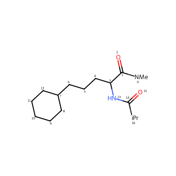 CNC(=O)C(CCCC1CCCCC1)NC(=O)C(C)C